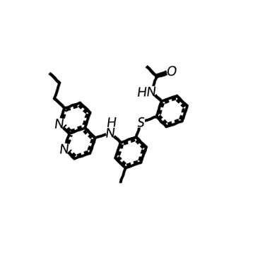 CCCc1ccc2c(Nc3cc(C)ccc3Sc3ccccc3NC(C)=O)ccnc2n1